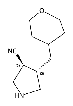 N#C[C@@H]1CNC[C@H]1CC1CCOCC1